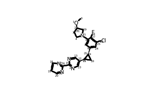 CO[C@@H]1CCN(c2cc([C@H]3C[C@H]3c3cnc(-c4ncccn4)nc3)cc(Cl)c2F)C1